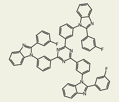 Fc1cccc(-c2nc3ccccc3n2-c2cccc(-c3nc(-c4cccc(-n5c(-c6cccc(F)c6)nc6ccccc65)c4)nc(-c4cccc(-n5c(-c6cccc(F)c6)nc6ccccc65)c4)n3)c2)c1